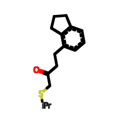 CC(C)SCC(=O)CCc1cccc2c1CCC2